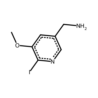 COc1cc(CN)cnc1I